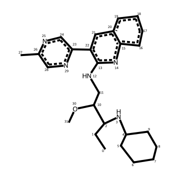 CCC(NC1CCCCC1)C(CNc1nc2ccccc2cc1-c1cnc(C)cn1)OC